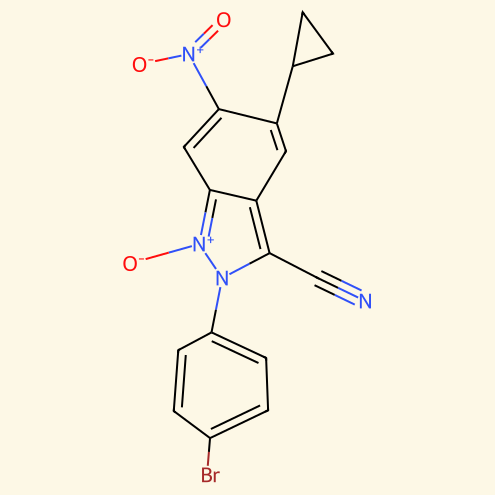 N#Cc1c2cc(C3CC3)c([N+](=O)[O-])cc2[n+]([O-])n1-c1ccc(Br)cc1